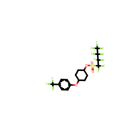 O=S(=O)(OC1CCC(Oc2ccc(C(F)(F)F)cc2)CC1)C(F)(F)C(F)(F)C(F)(F)C(F)(F)F